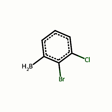 Bc1cccc(Cl)c1Br